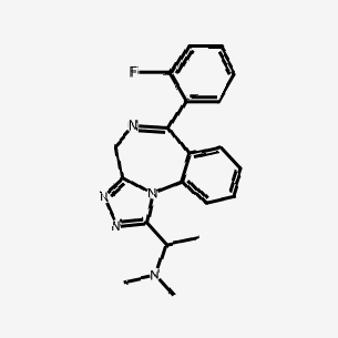 CC(c1nnc2n1-c1ccccc1C(c1ccccc1F)=NC2)N(C)C